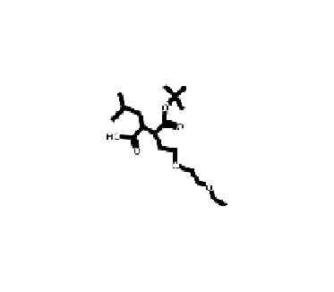 CCOCCOCCC(C(=O)OC(C)(C)C)C(CC(C)C)C(=O)O